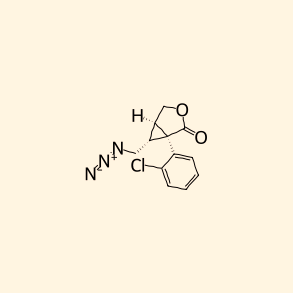 [N-]=[N+]=NC[C@@H]1[C@H]2COC(=O)[C@@]12c1ccccc1Cl